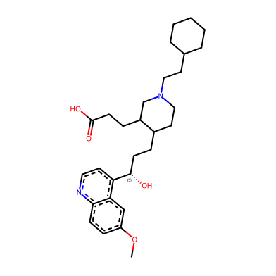 COc1ccc2nccc([C@@H](O)CCC3CCN(CCC4CCCCC4)CC3CCC(=O)O)c2c1